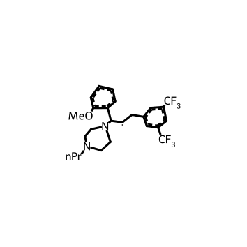 CCCN1CCN(C([CH]Cc2cc(C(F)(F)F)cc(C(F)(F)F)c2)c2ccccc2OC)CC1